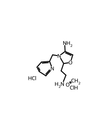 C=O.Cl.Cl.NCCC1OC=C(N)N1Cc1ccccn1